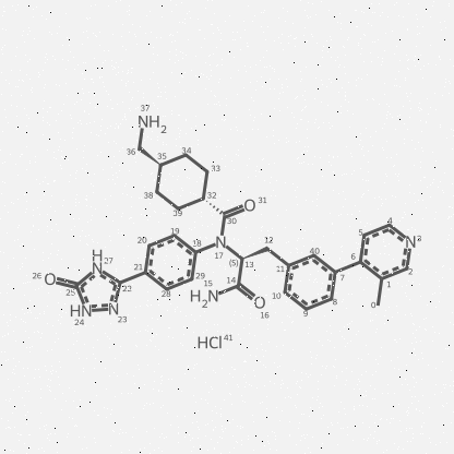 Cc1cnccc1-c1cccc(C[C@@H](C(N)=O)N(c2ccc(-c3n[nH]c(=O)[nH]3)cc2)C(=O)[C@H]2CC[C@H](CN)CC2)c1.Cl